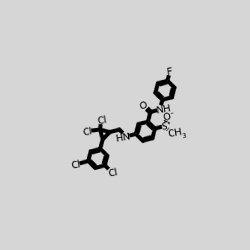 C[S+]([O-])c1ccc(NCC2C(c3cc(Cl)cc(Cl)c3)C2(Cl)Cl)cc1C(=O)Nc1ccc(F)cc1